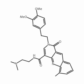 COc1ccc(CCn2cc(C(=O)NCCN(C)C)c3nc4c(C)cccc4cc3c2=O)cc1OC